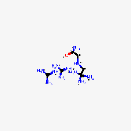 N=C(N)N.N=C(N)N.NC(=O)CNCC(N)(N)N